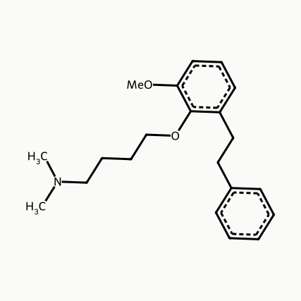 COc1cccc(CCc2ccccc2)c1OCCCCN(C)C